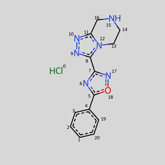 Cl.c1ccc(-c2nc(-c3nnc4n3CCNC4)no2)cc1